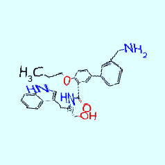 CCCOc1ccc(-c2cccc(CN)c2)cc1C(=O)N[C@H](CO)Cc1c[nH]c2ccccc12